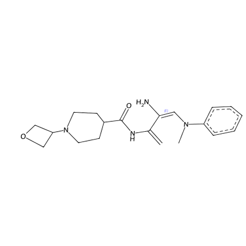 C=C(NC(=O)C1CCN(C2COC2)CC1)/C(N)=C\N(C)c1ccccc1